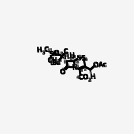 CC(=O)OCC1=C(C(=O)O)N2C(=O)[C@H](C(C)(O[SiH](C)C)C(C)(C)C)[C@H]2SS1